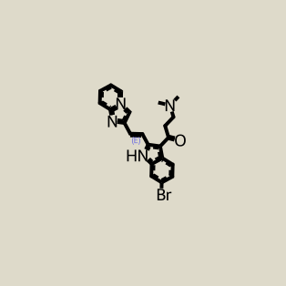 CN(C)CCC(=O)c1c(/C=C/c2cn3ccccc3n2)[nH]c2cc(Br)ccc12